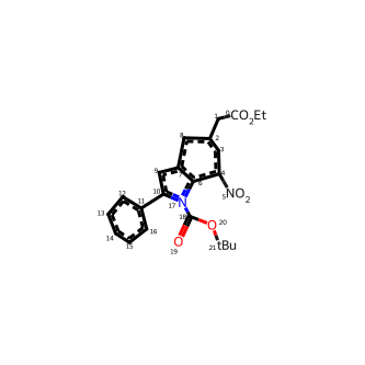 CCOC(=O)Cc1cc([N+](=O)[O-])c2c(c1)cc(-c1ccccc1)n2C(=O)OC(C)(C)C